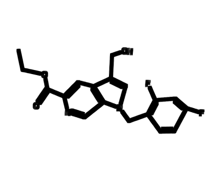 CCOC(=O)c1cc2c(CO)cn(Cc3ccc(F)cc3F)c2cn1